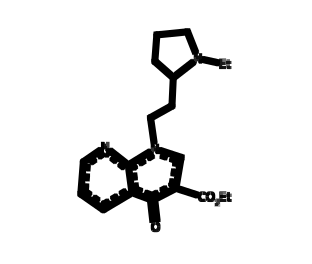 CCOC(=O)c1cn(CCC2CCCN2CC)c2ncccc2c1=O